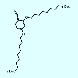 CCCCCCCCCCCCCCCCCCOC1=CCC(=[N+]=[N-])C(OCCCCCCCCCCCCCCCCCC)=C1